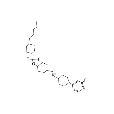 CCCCCC1CCC(C(F)(F)OC2CCC(/C=C/C3CCC(c4ccc(F)c(F)c4)CC3)CC2)CC1